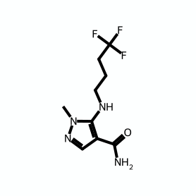 Cn1ncc(C(N)=O)c1NCCCC(F)(F)F